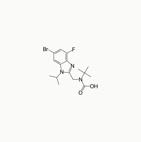 CC(C)n1c(CN(C(=O)O)C(C)(C)C)nc2c(F)cc(Br)cc21